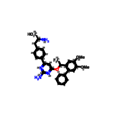 COc1cc(-c2ccccc2)c(C(Oc2cc(-c3ccc(C[C@H](N)C(=O)O)cc3)nc(N)n2)C(F)(F)F)cc1OC